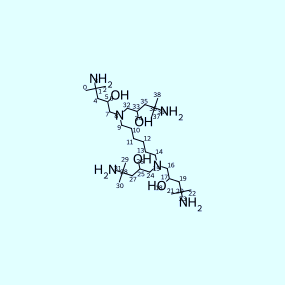 CC(C)(N)CC(O)CN(CCCCCCN(CC(O)CC(C)(C)N)CC(O)CC(C)(C)N)CC(O)CC(C)(C)N